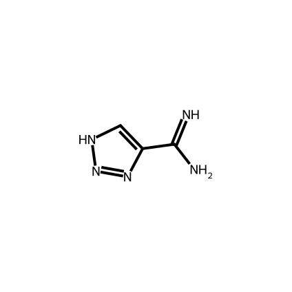 N=C(N)c1c[nH]nn1